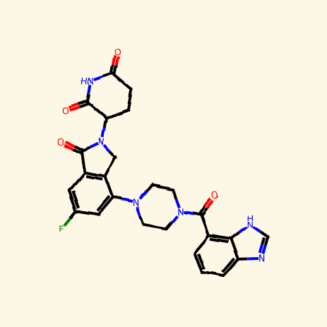 O=C1CCC(N2Cc3c(cc(F)cc3N3CCN(C(=O)c4cccc5nc[nH]c45)CC3)C2=O)C(=O)N1